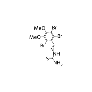 COc1c(Br)c(Br)c(C=NNC(N)=S)c(Br)c1OC